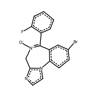 [O-][N+]1=C(c2ccccc2F)c2cc(Br)ccc2-n2ccnc2C1